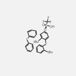 CC(C)(C)c1ccccc1[I+]c1ccccc1C(C)(C)C.O=S(=O)(O)C(F)(F)F.c1ccc([I+]c2ccccc2)cc1